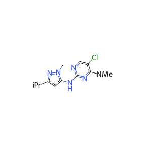 CNc1nc(Nc2cc(C(C)C)nn2C)ncc1Cl